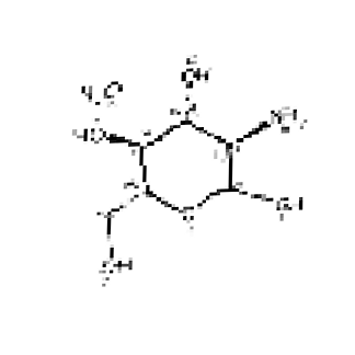 N[C@H]1C(O)O[C@H](CO)[C@@H](O)[C@@H]1O.O